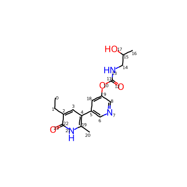 CCc1cc(-c2cncc(OC(=O)NCC(C)O)c2)c(C)[nH]c1=O